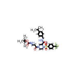 CC(C)c1ccc(CNC(=O)C2CN(C(=O)CCNC(=O)OC(C)(C)C)CCN2S(=O)(=O)c2ccc(C(F)(F)F)cc2)cc1